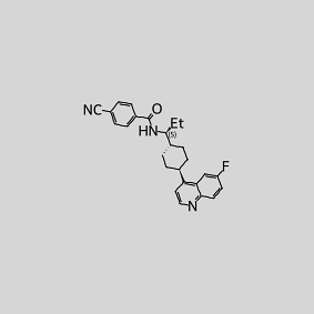 CC[C@H](NC(=O)c1ccc(C#N)cc1)[C@H]1CC[C@H](c2ccnc3ccc(F)cc32)CC1